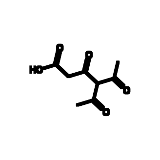 CC(=O)C(C(C)=O)C(=O)CC(=O)O